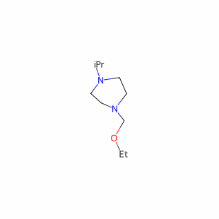 CCOCN1CCN(C(C)C)CC1